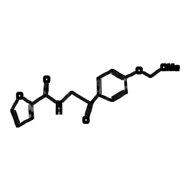 COCOc1ccc(C(=O)CNC(=O)c2ccco2)cc1